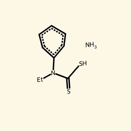 CCN(C(=S)S)c1ccccc1.N